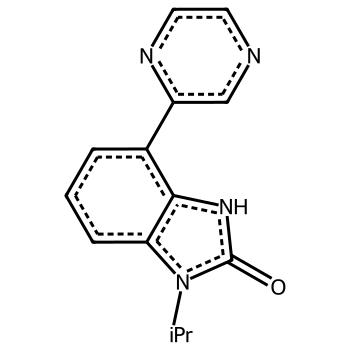 CC(C)n1c(=O)[nH]c2c(-c3cnccn3)cccc21